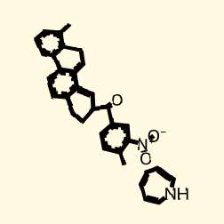 C1=CC=CNC=C1.Cc1ccc(C(=O)C2C=c3c(ccc4c3=CCc3c(C)cccc3-4)CC2)cc1[N+](=O)[O-]